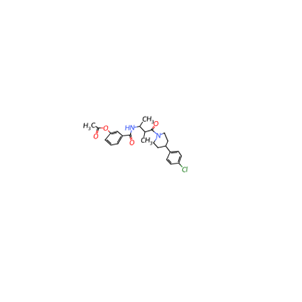 CC(=O)Oc1cccc(C(=O)NC(C)C(C)C(=O)N2CCC(c3ccc(Cl)cc3)CC2)c1